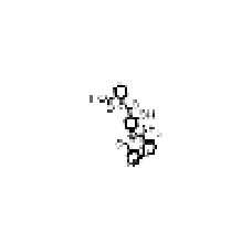 NC(=O)c1cccnc1.NC(=O)c1cccnc1.O=C(Oc1ccccc1C(=O)O)c1ccccc1O